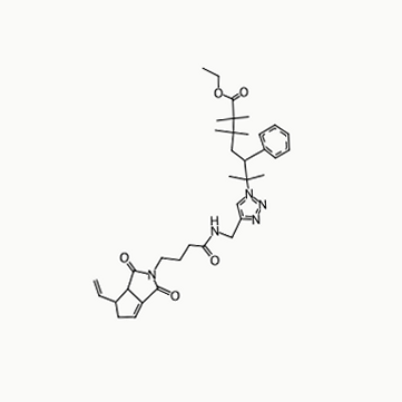 C=CC1CC=C2C(=O)N(CCCC(=O)NCc3cn(C(C)(C)C(CC(C)(C)C(C)(C)C(=O)OCC)c4ccccc4)nn3)C(=O)C21